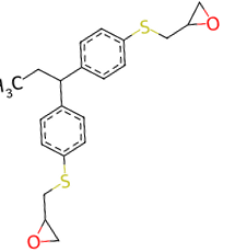 CCC(c1ccc(SCC2CO2)cc1)c1ccc(SCC2CO2)cc1